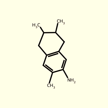 Cc1cc2c(cc1N)CC(C)C(C)C2